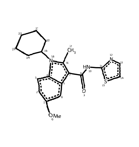 COc1ccc2c(c1)c(C(=O)Nc1nccs1)c(C)n2C1CCCCC1